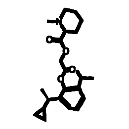 CC(C)c1cccc([C@H](C)C2CC2)c1OC(=O)COC(=O)C1CCCCN1C